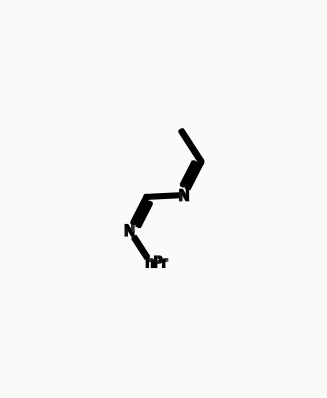 C/C=N\C=N/CCC